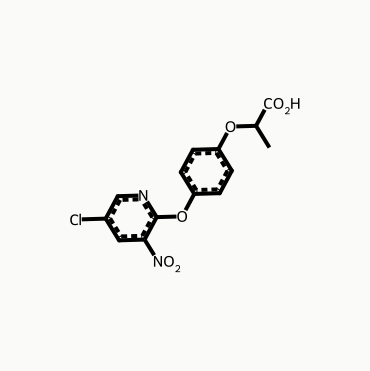 CC(Oc1ccc(Oc2ncc(Cl)cc2[N+](=O)[O-])cc1)C(=O)O